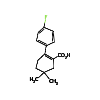 CC1(C)CCC(c2ccc(F)cc2)=C(C(=O)O)C1